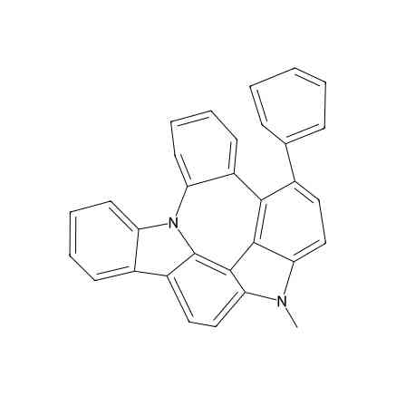 Cn1c2ccc(-c3ccccc3)c3c4ccccc4n4c5ccccc5c5ccc1c(c32)c54